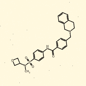 CN(C1COC1)S(=O)(=O)c1ccc(NC(=O)c2ccc(CN3CCc4ccccc4C3)cc2)cc1